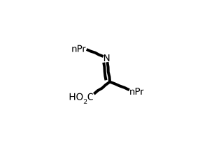 CCCN=C(CCC)C(=O)O